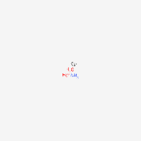 N.O.[Cs+].[OH-]